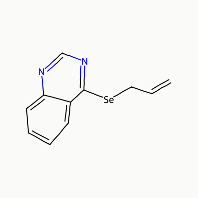 C=CC[Se]c1ncnc2ccccc12